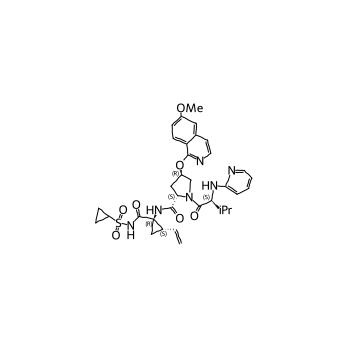 C=C[C@@H]1C[C@]1(NC(=O)[C@@H]1C[C@@H](Oc2nccc3cc(OC)ccc23)CN1C(=O)[C@@H](Nc1ccccn1)C(C)C)C(=O)NS(=O)(=O)C1CC1